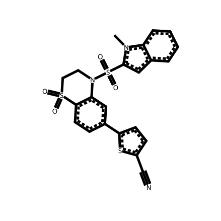 Cn1c(S(=O)(=O)N2CCS(=O)(=O)c3ccc(-c4ccc(C#N)s4)cc32)cc2ccccc21